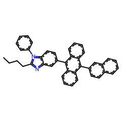 CCCCc1nc2cc(-c3c4ccccc4c(-c4ccc5ccccc5c4)c4ccccc34)ccc2n1-c1ccccc1